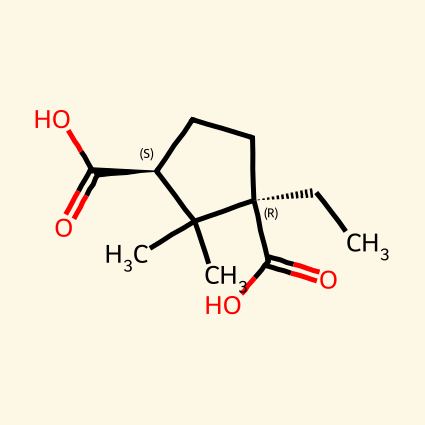 CC[C@@]1(C(=O)O)CC[C@H](C(=O)O)C1(C)C